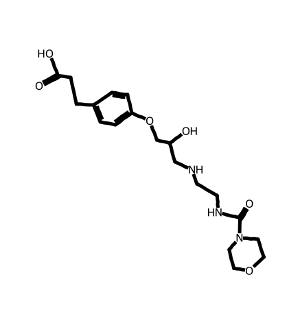 O=C(O)CCc1ccc(OCC(O)CNCCNC(=O)N2CCOCC2)cc1